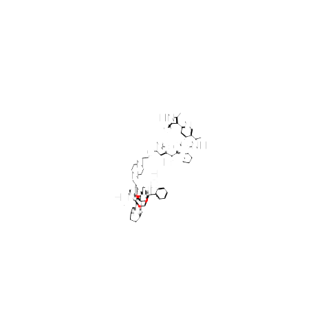 CC1=C(c2ccc(C(C)NC(=O)[C@@H]3CCCN3C(=O)C(c3cc(OCCN4CCN(CCOc5cc(N6C7CCC6CN(C(/C=C(\N)c6ccccc6O)=C(N)N)C7)ccn5)CC4)no3)C(C)C)cn2)C(=O)N1